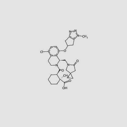 Cn1nnc2c1CC(Oc1ccc(Cl)c3c1[C@@H](CN1CC4(CC4)CC1=O)N(C(=O)[C@@H]1CCCC[C@]1(C)C(=O)O)CC3)C2